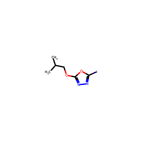 CC(C)COc1nnc(I)o1